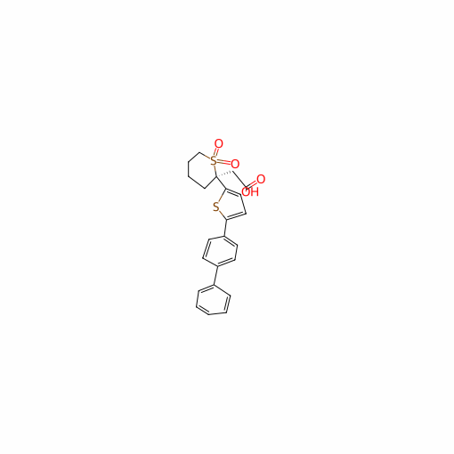 O=C(O)C[C@]1(c2ccc(-c3ccc(-c4ccccc4)cc3)s2)CCCCS1(=O)=O